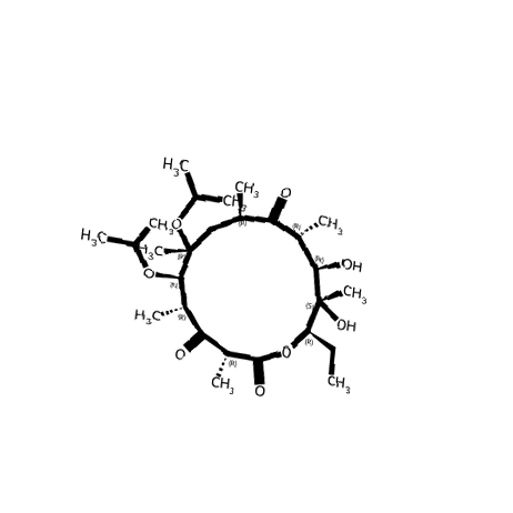 CC[C@H]1OC(=O)[C@H](C)C(=O)[C@H](C)[C@@H](OC(C)C)[C@](C)(OC(C)C)C[C@@H](C)C(=O)[C@H](C)[C@@H](O)[C@]1(C)O